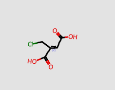 O=C(O)/C=C(\CCl)C(=O)O